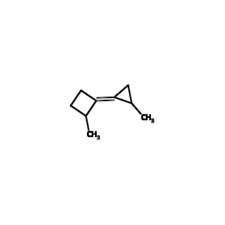 CC1CCC1=C1CC1C